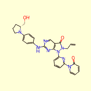 C=CCn1c(=O)c2cnc(Nc3ccc(N4CCC[C@@H]4CO)cc3)nc2n1-c1cccc(-n2ccccc2=O)n1